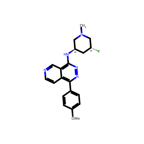 COc1ccc(-c2nnc(N[C@@H]3C[C@@H](F)CN(C)C3)c3cnccc23)cc1